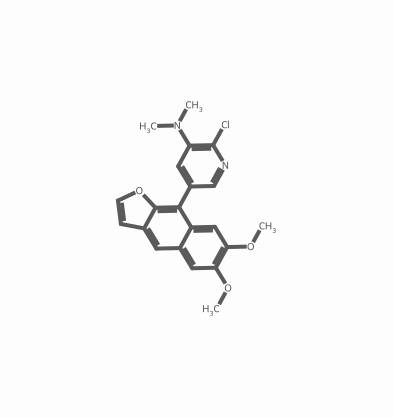 COc1cc2cc3ccoc3c(-c3cnc(Cl)c(N(C)C)c3)c2cc1OC